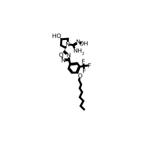 CCCCCCCCOc1ccc(-c2noc([C@@H]3C[C@H](O)CN3/C(N)=N/O)n2)cc1C(F)(F)F